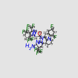 Nc1ncc(-c2cccnc2[C@H](Cc2cc(F)cc(F)c2)NC(=O)Cn2nc(C(F)F)c3c2C(F)(F)CCC3(F)F)cc1C(F)(F)F